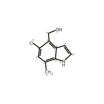 Cc1cc(Cl)c(CO)c2cc[nH]c12